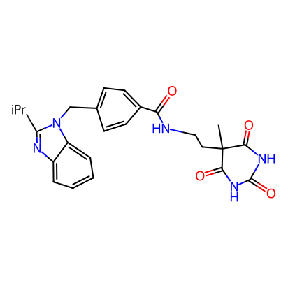 CC(C)c1nc2ccccc2n1Cc1ccc(C(=O)NCCC2(C)C(=O)NC(=O)NC2=O)cc1